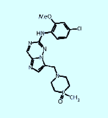 COc1cc(Cl)ccc1Nc1ncc2ncc(CN3CCP(C)(=O)CC3)n2n1